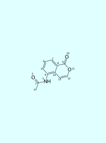 CC(=O)Nc1cccc2c(=O)occc12